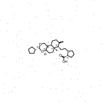 C=C1CCC2[C@]3(C)CO[C@@H](C4CCCC4)O[C@@H]3CC[C@@]2(C)[C@@H]1CCN1CCC[C@H]1C(=O)O